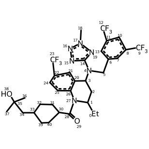 CCC1CC(N(Cc2cc(C(F)(F)F)cc(C(F)(F)F)c2)c2nnn(C)n2)c2cc(C(F)(F)F)ccc2N1C(=O)C1CCC(CC(C)(C)O)CC1